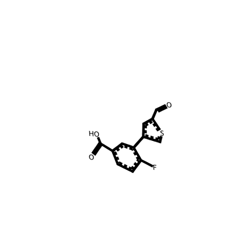 O=Cc1cc(-c2cc(C(=O)O)ccc2F)cs1